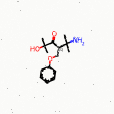 CC(C)(O)C(=O)[C@H](COc1ccccc1)C(C)(C)N